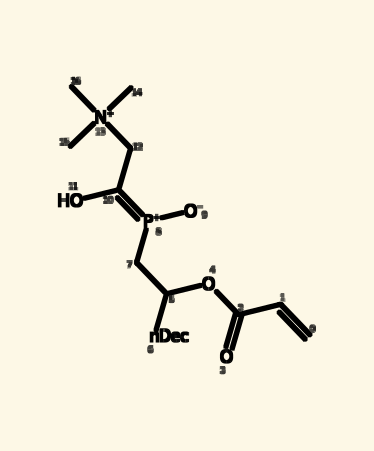 C=CC(=O)OC(CCCCCCCCCC)C/[P+]([O-])=C(\O)C[N+](C)(C)C